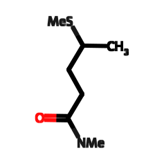 CNC(=O)CCC(C)SC